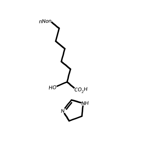 C1=NCCN1.CCCCCCCCCCCCCCC(O)C(=O)O